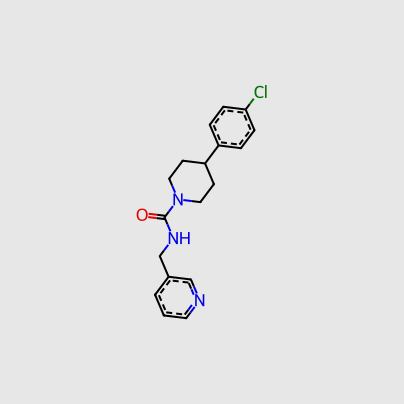 O=C(NCc1cccnc1)N1CCC(c2ccc(Cl)cc2)CC1